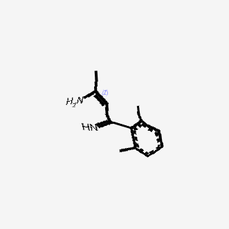 C/C(N)=C/C(=N)c1c(C)cccc1C